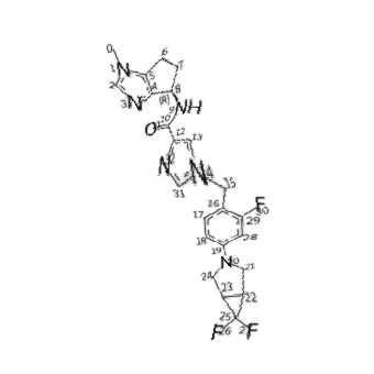 Cn1cnc2c1CC[C@H]2NC(=O)c1cn(Cc2ccc(N3CC4C(C3)C4(F)F)cc2F)cn1